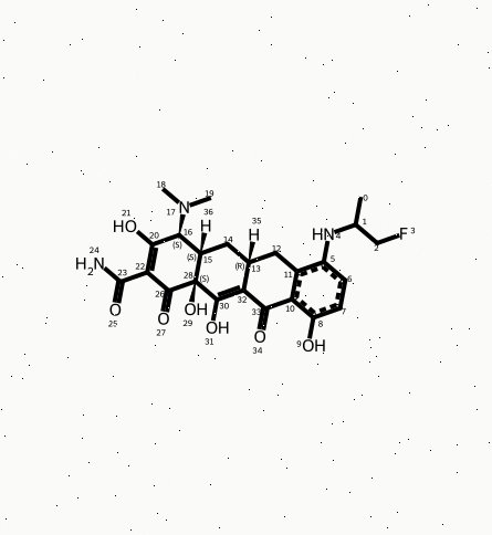 CC(CF)Nc1ccc(O)c2c1C[C@H]1C[C@H]3[C@H](N(C)C)C(O)=C(C(N)=O)C(=O)[C@@]3(O)C(O)=C1C2=O